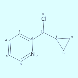 ClC(c1ccccn1)C1CC1